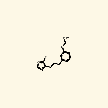 CCc1ocnc1CCCc1cccc(OCC=O)c1